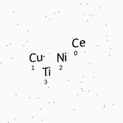 [Ce].[Cu].[Ni].[Ti]